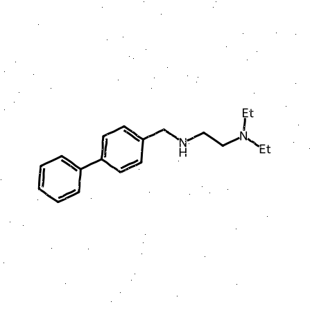 CCN(CC)CCNCc1ccc(-c2ccccc2)cc1